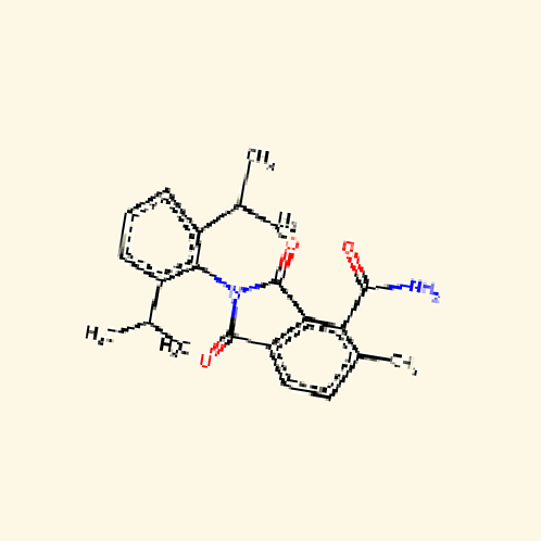 Cc1ccc2c(c1C(N)=O)C(=O)N(c1c(C(C)C)cccc1C(C)C)C2=O